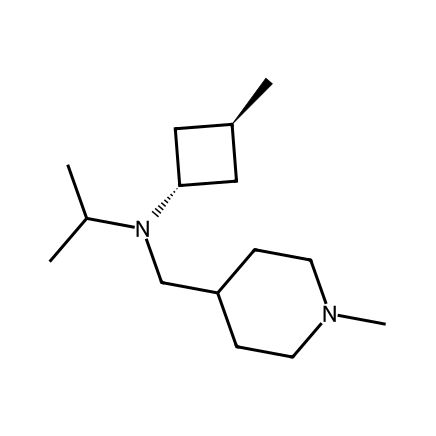 CC(C)N(CC1CCN(C)CC1)[C@H]1C[C@H](C)C1